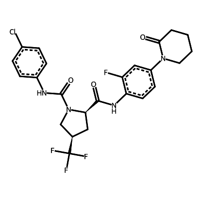 O=C(Nc1ccc(N2CCCCC2=O)cc1F)[C@H]1C[C@@H](C(F)(F)F)CN1C(=O)Nc1ccc(Cl)cc1